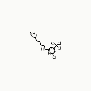 NCCCCCCNc1cc(C(Cl)(Cl)Cl)cc(Cl)n1